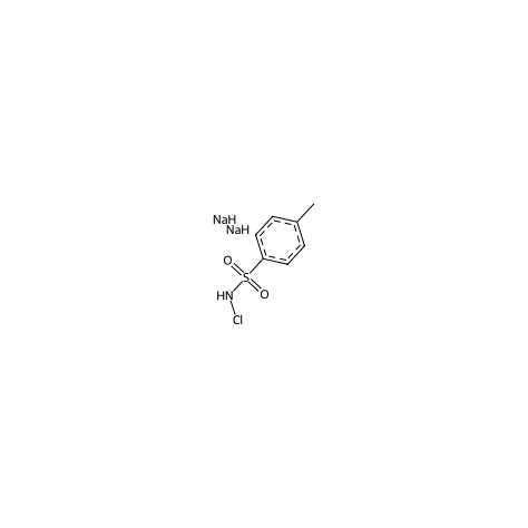 Cc1ccc(S(=O)(=O)NCl)cc1.[NaH].[NaH]